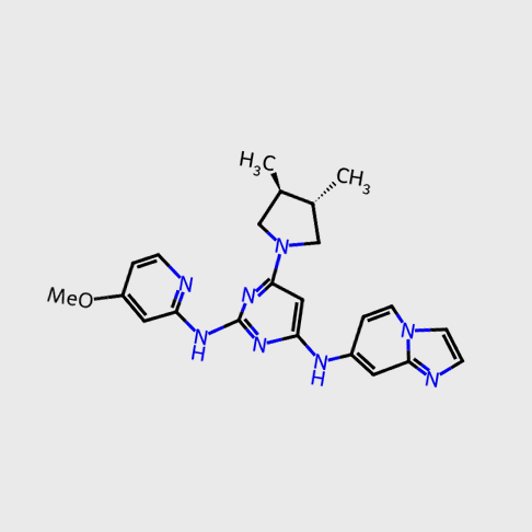 COc1ccnc(Nc2nc(Nc3ccn4ccnc4c3)cc(N3C[C@@H](C)[C@H](C)C3)n2)c1